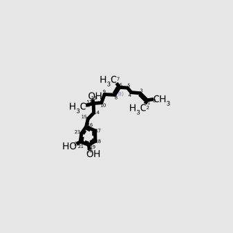 CC(C)=CCC/C(C)=C/CCC(C)(O)CCc1ccc(O)c(O)c1